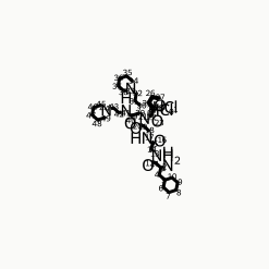 Cl.Cl.N[C@@H](CC1CCCCC1)C(=O)NCC(=O)NCC(=O)N(C(=O)c1ccco1)[C@@H](CCCN1CCCCC1)C(=O)NCCN1CCCCC1